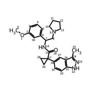 COc1cccc(C(CN2CCCC2)NC(=O)C2(c3ccc4[nH]nc(C)c4c3)CC2)c1